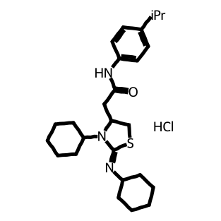 CC(C)c1ccc(NC(=O)CC2CSC(=NC3CCCCC3)N2C2CCCCC2)cc1.Cl